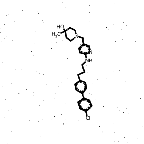 CC1(O)CCN(Cc2ccc(NCCCc3ccc(-c4ccc(Cl)cc4)cc3)nc2)CC1